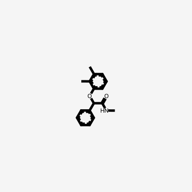 CNC(=O)C(Oc1cccc(C)c1C)c1ccccc1